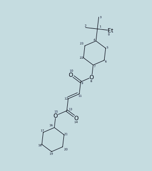 CCC(C)(C)C1CCC(OC(=O)/C=C/C(=O)OC2CCCCC2)CC1